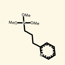 CO[Si](CCCc1ccccn1)(OC)OC